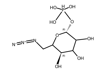 [N-]=[N+]=NCC1O[C@H](O[PH](O)(O)O)C(O)C(O)[C@H]1O